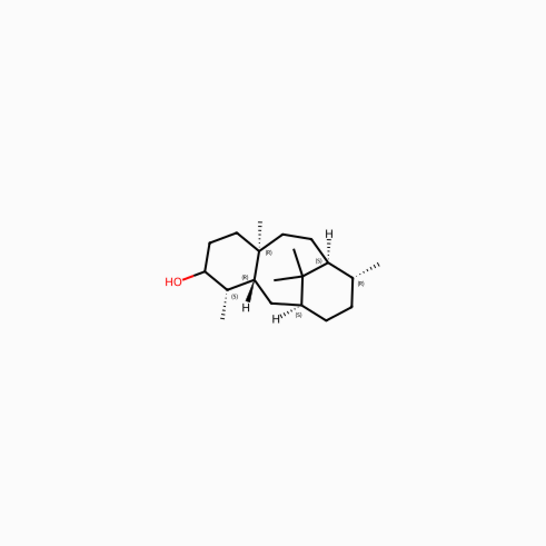 C[C@@H]1CC[C@H]2C[C@@H]3[C@H](C)C(O)CC[C@@]3(C)CC[C@@H]1C2(C)C